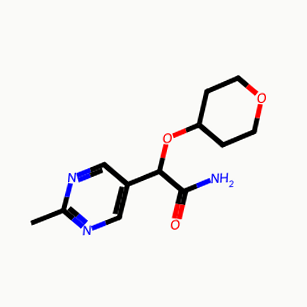 Cc1ncc(C(OC2CCOCC2)C(N)=O)cn1